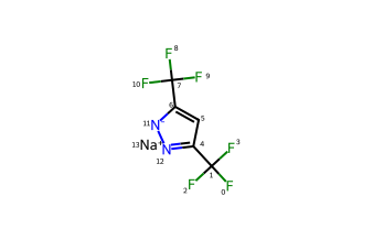 FC(F)(F)c1cc(C(F)(F)F)[n-]n1.[Na+]